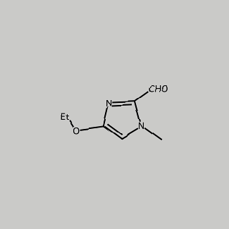 CCOc1cn(C)c(C=O)n1